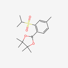 Cc1ccc(B2OC(C)(C)C(C)(C)O2)c(S(=O)(=O)C(C)C)c1